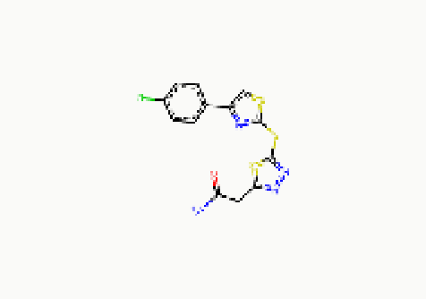 NC(=O)Cc1nnc(Sc2nc(-c3ccc(Cl)cc3)cs2)s1